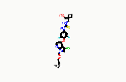 C[SiH](C)CCOCn1cc(Cl)c2c(Oc3c(F)cc(NC(=S)NCC4(CO)CCC4)cc3F)ccnc21